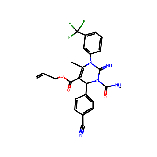 C=CCOC(=O)C1=C(C)N(c2cccc(C(F)(F)F)c2)C(=N)N(C(=O)NC)C1c1ccc(C#N)cc1